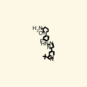 CC(C)(C)c1cnn2ccc(-c3ccnc(Nc4ccc(N5CCCC(N)C5=O)cc4F)n3)cc12